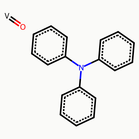 [O]=[V].c1ccc(N(c2ccccc2)c2ccccc2)cc1